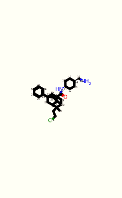 CC1(CCCl)C2CC3(C(=O)N[C@H]4CC[C@H](CN)CC4)CC1CC(c1ccccc1)(C2)C3